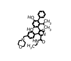 CCNC(=O)c1noc(-c2c(O)cc(O)c(-c3ccccc3)c2C(C)C)c1-c1ccc(CN2CCOCC2)cc1